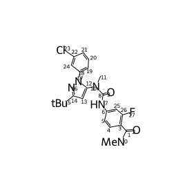 CNC(=O)c1ccc(NC(=O)N(C)c2cc(C(C)(C)C)nn2-c2cccc(Cl)c2)cc1F